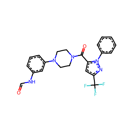 O=CNc1cccc(N2CCN(C(=O)c3cc(C(F)(F)F)nn3-c3ccccc3)CC2)c1